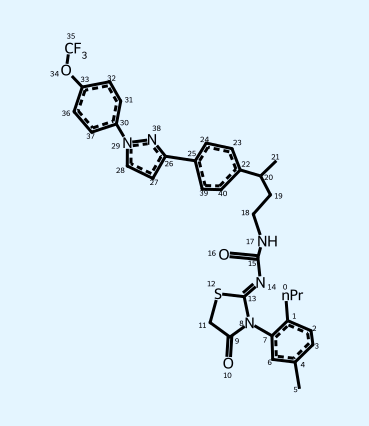 CCCc1ccc(C)cc1N1C(=O)CS/C1=N\C(=O)NCCC(C)c1ccc(-c2ccn(-c3ccc(OC(F)(F)F)cc3)n2)cc1